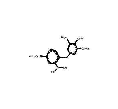 COc1cc(Cc2cnc(N(C)O)nc2N(O)O)cc(OC)c1OC